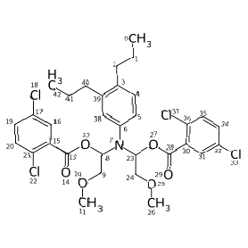 CCCc1ccc(N(C(COC)OC(=O)c2cc(Cl)ccc2Cl)C(COC)OC(=O)c2cc(Cl)ccc2Cl)cc1CCC